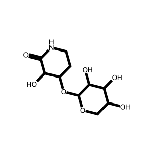 O=C1NCCC(OC2OCC(O)C(O)C2O)C1O